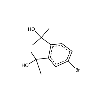 CC(C)(O)c1ccc(Br)cc1C(C)(C)O